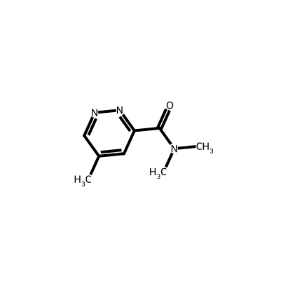 Cc1cnnc(C(=O)N(C)C)c1